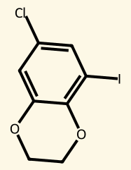 Clc1cc(I)c2c(c1)OCCO2